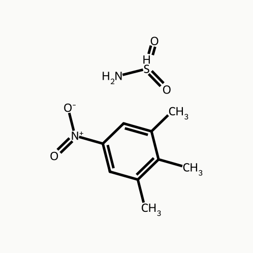 Cc1cc([N+](=O)[O-])cc(C)c1C.N[SH](=O)=O